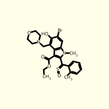 CCOC(=O)c1c(C(=S=O)c2ccccc2C)n(C)c2cc(Br)c(O)c(CN3CCOCC3)c12